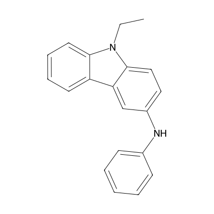 CCn1c2ccccc2c2cc(Nc3ccccc3)ccc21